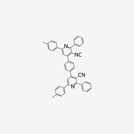 [C-]#[N+]c1c(-c2ccc(-c3cc(-c4ccc(C)cc4)nc(-c4ccccc4)c3C#N)cc2)cc(-c2ccc(C)cc2)nc1-c1ccccc1